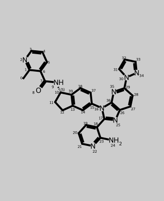 Cc1ncccc1C(=O)N[C@H]1CCc2cc(-n3c(-c4cccnc4N)nc4ccc(-n5cccn5)nc43)ccc21